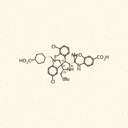 COc1cc(C(=O)O)ccc1NC(=O)[C@@H]1N[C@@H](CC(C)(C)C)[C@@]2(CN(C[C@H]3CC[C@H](C(=O)O)CC3)c3ccc(Cl)cc32)[C@H]1c1cccc(Cl)c1F